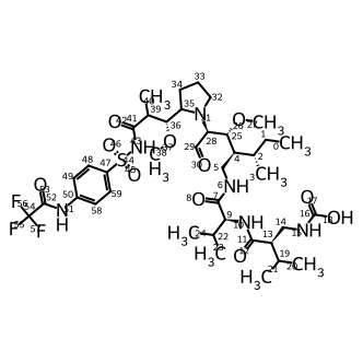 CC[C@H](C)[C@@H](CNC(=O)[C@@H](NC(=O)[C@@H](CNC(=O)O)C(C)C)C(C)C)[C@@H](OC)[C@@H](C=O)N1CCCC1[C@H](OC)C(C)C(=O)NS(=O)(=O)c1ccc(NC(=O)C(F)(F)F)cc1